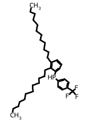 CCCCCCCCCCCCc1cccc(Pc2ccc(C(F)(F)F)cc2)c1CCCCCCCCCCCC